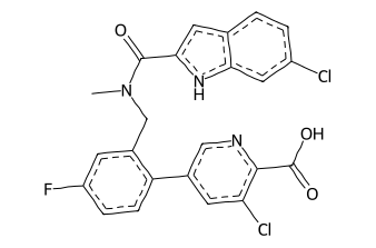 CN(Cc1cc(F)ccc1-c1cnc(C(=O)O)c(Cl)c1)C(=O)c1cc2ccc(Cl)cc2[nH]1